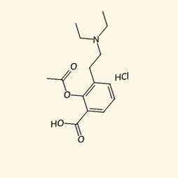 CCN(CC)CCc1cccc(C(=O)O)c1OC(C)=O.Cl